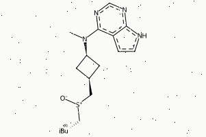 CC[C@@H](C)C[S+]([O-])C[C@H]1C[C@@H](N(C)c2ncnc3[nH]ccc23)C1